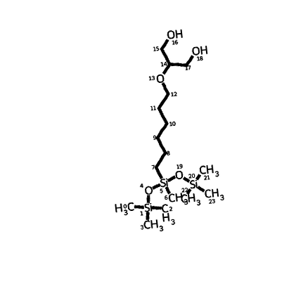 C[Si](C)(C)O[Si](C)(CCCCCCOC(CO)CO)O[Si](C)(C)C